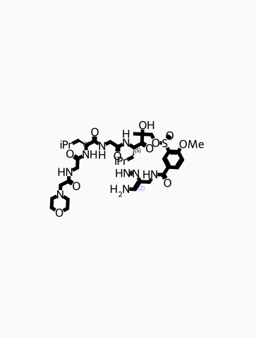 COc1ccc(C(=O)NC/C(=C/N)N=N)cc1S(=O)OCC(C)(O)C(=O)[C@H](CC(C)C)NC(=O)CNC(=O)[C@H](CC(C)C)NC(=O)CNC(=O)CN1CCOCC1